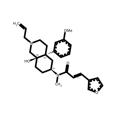 C=CCN1CC[C@@]2(c3cccc(OC)c3)C[C@@H](N(C)C(=O)/C=C/c3ccoc3)CC[C@]2(O)C1